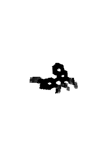 Cc1cc2ccccc2c(-c2cc(O)ccc2O)c1C